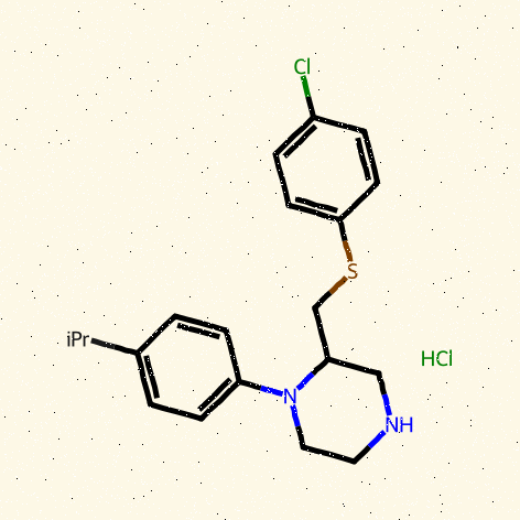 CC(C)c1ccc(N2CCNCC2CSc2ccc(Cl)cc2)cc1.Cl